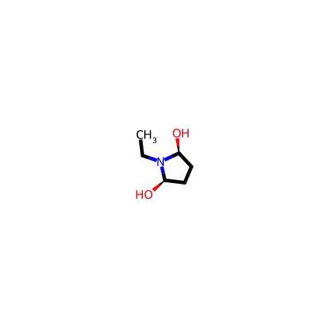 CCN1[C@H](O)CC[C@@H]1O